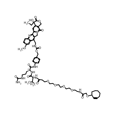 CC[C@@]1(O)C(=O)OCc2c1cc1n(c2=O)Cc2c-1nc1ccc(OC)cc1c2CNC(=O)OCc1ccc(NC(=O)[C@H](CCCNC(N)=O)NC(=O)[C@@H](NC(=O)CCOCCOCCOCCOCCNC(=O)COC2C#CCCCCC2)C(C)C)cc1